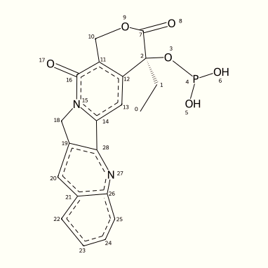 CC[C@@]1(OP(O)O)C(=O)OCc2c1cc1n(c2=O)Cc2cc3ccccc3nc2-1